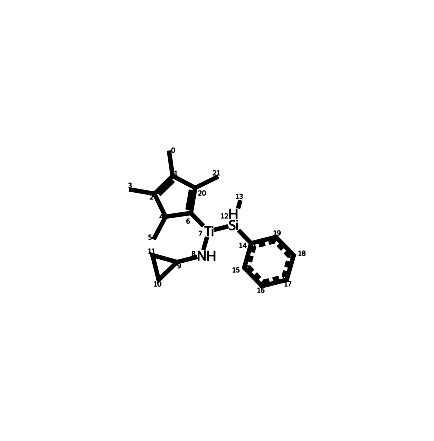 CC1=C(C)C(C)[C]([Ti]([NH]C2CC2)[SiH](C)c2ccccc2)=C1C